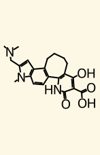 CN(C)Cc1cc2c3c(ccc2n1C)-c1[nH]c(=O)c(C(=O)O)c(O)c1CCCC3